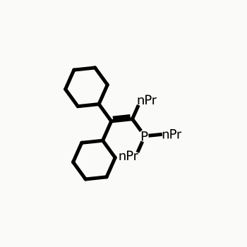 CCCC(=C(C1CCCCC1)C1CCCCC1)P(CCC)CCC